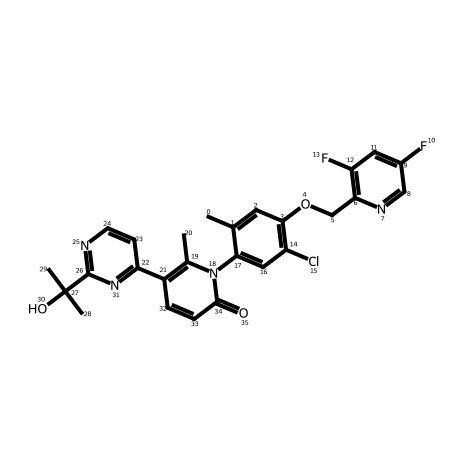 Cc1cc(OCc2ncc(F)cc2F)c(Cl)cc1-n1c(C)c(-c2ccnc(C(C)(C)O)n2)ccc1=O